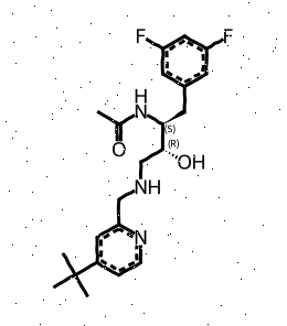 CC(=O)N[C@@H](Cc1cc(F)cc(F)c1)[C@H](O)CNCc1cc(C(C)(C)C)ccn1